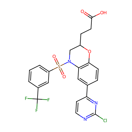 O=C(O)CCC1CN(S(=O)(=O)c2cccc(C(F)(F)F)c2)c2cc(-c3ccnc(Cl)n3)ccc2O1